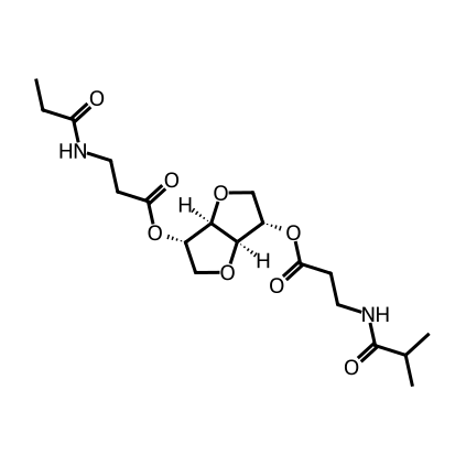 CCC(=O)NCCC(=O)O[C@H]1CO[C@H]2[C@@H]1OC[C@@H]2OC(=O)CCNC(=O)C(C)C